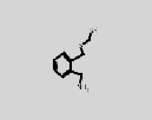 NCc1ccccc1CS[CH2][Sn]